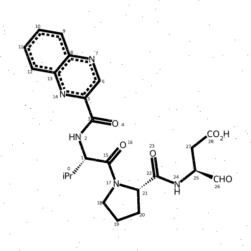 CC(C)[C@H](NC(=O)c1cnc2ccccc2n1)C(=O)N1CCC[C@H]1C(=O)N[C@H](C=O)CC(=O)O